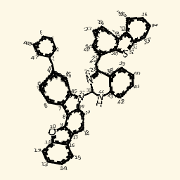 c1ccc(-c2ccc3c4c5oc6ccccc6c5ccc4n(C4N=C(c5cccc6c5sc5ccccc56)c5ccccc5N4)c3c2)cc1